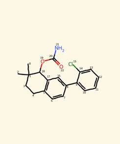 CC1(C)CCc2ccc(-c3ccccc3Cl)cc2C1OC(N)=O